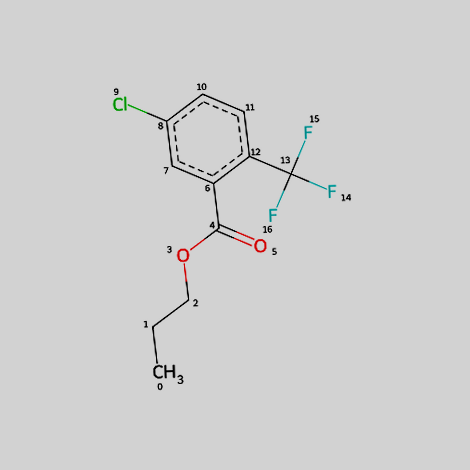 CCCOC(=O)c1cc(Cl)ccc1C(F)(F)F